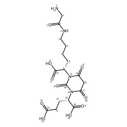 NCC(=O)NCCCC[C@@H](C(=O)O)N1C(=O)CC(=O)N([C@@H](CCC(=O)O)C(=O)O)C1=O